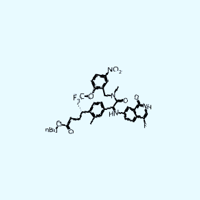 CCCCOC(=O)CC[C@H](C)c1ccc(C(Nc2ccc3c(F)c[nH]c(=O)c3c2)C(=O)N(C)Cc2cc([N+](=O)[O-])ccc2OC(F)(F)F)cc1C